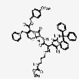 COc1ccc(COC(=O)C2=C(C[n+]3ccccc3)CS[C@H]3[C@H](NC(=O)/C(=N\OCCCNC(=O)OC(C)(C)C)c4nc(NC(c5ccccc5)(c5ccccc5)c5ccccc5)sc4Cl)C(=O)N23)cc1